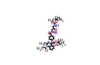 CCC(=O)N1c2ccccc2[C@H](N(C(=O)OC(C)(C)C)c2ccc(C(=O)NCC(O)CNC(=O)OC(C)(C)C)cc2)C[C@@H]1C